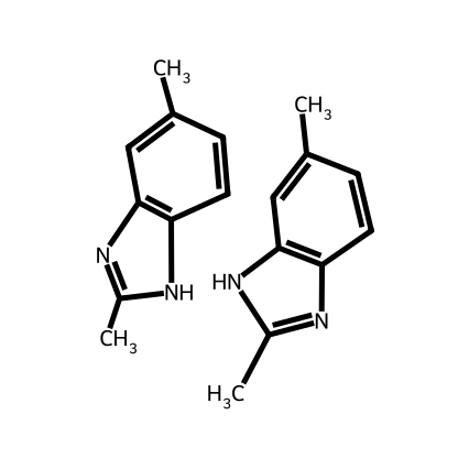 Cc1ccc2[nH]c(C)nc2c1.Cc1ccc2nc(C)[nH]c2c1